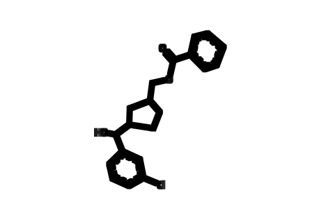 O=C(OCC1CCC(C(O)c2cccc(Cl)c2)C1)c1ccccc1